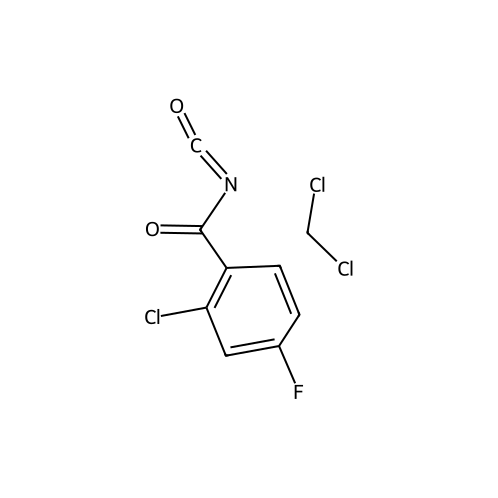 ClCCl.O=C=NC(=O)c1ccc(F)cc1Cl